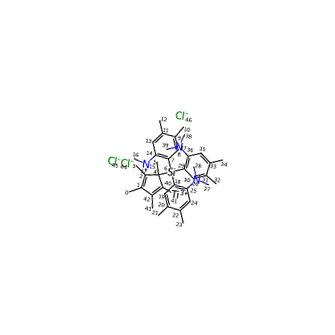 CC1=C(C)C(C)([Si](c2cc(C)c(C)cc2N(C)C)(c2cc(C)c(C)cc2N(C)C)c2cc(C)c(C)cc2N(C)C)[C]([Ti+3])=C1C.[Cl-].[Cl-].[Cl-]